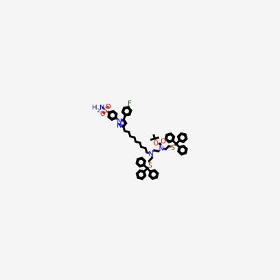 CC(C)(C)OC(=O)N(CCSC(c1ccccc1)(c1ccccc1)c1ccccc1)CCN(CCCCCCCCCc1cc(-c2ccc(F)cc2)n(-c2ccc(S(N)(=O)=O)cc2)n1)CCSC(c1ccccc1)(c1ccccc1)c1ccccc1